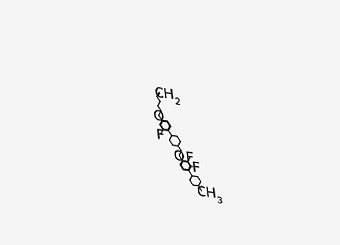 C=CCCCOc1ccc(C2CCC(COc3ccc(C4CCC(C)CC4)c(F)c3F)CC2)c(F)c1